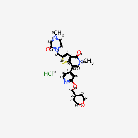 CN1CCN(Cc2cc3c(=O)n(C)cc(-c4ccnc(OCC5CCOCC5)c4)c3s2)C(=O)C1.Cl